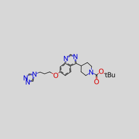 CC(C)(C)OC(=O)N1CCC(c2ncnc3cc(OCCCn4cnnc4)ccc23)CC1